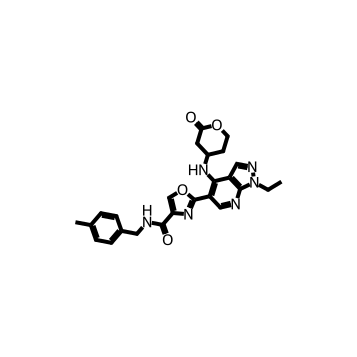 CCn1ncc2c(NC3CCOC(=O)C3)c(-c3nc(C(=O)NCc4ccc(C)cc4)co3)cnc21